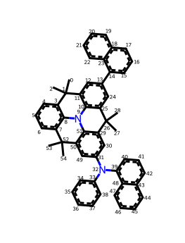 CC1(C)c2cccc3c2N2c4c1cc(-c1cccc5ccccc15)cc4C(C)(C)c1cc(N(c4ccccc4)c4cccc5ccccc45)cc(c12)C3(C)C